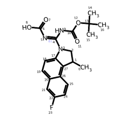 CC1CN(/C(=N/C(=O)O)NC(=O)OC(C)(C)C)c2ccc3cc(F)ccc3c21